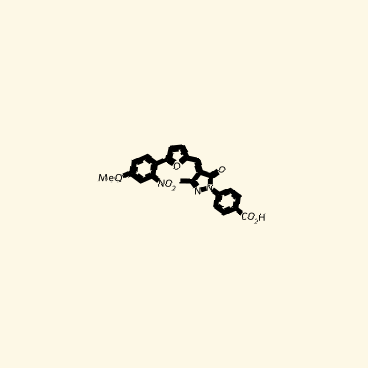 COc1ccc(-c2ccc(C=C3C(=O)N(c4ccc(C(=O)O)cc4)N=C3C)o2)c([N+](=O)[O-])c1